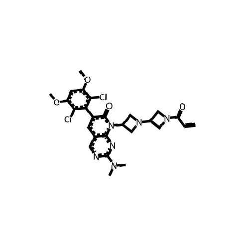 C=CC(=O)N1CC(N2CC(n3c(=O)c(-c4c(Cl)c(OC)cc(OC)c4Cl)cc4cnc(N(C)C)nc43)C2)C1